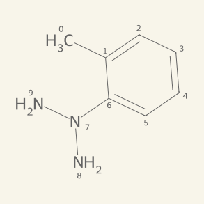 Cc1ccccc1N(N)N